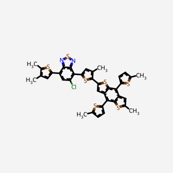 Cc1ccc(-c2c3cc(-c4sc(-c5c(Cl)cc(-c6cc(C)c(C)s6)c6nsnc56)cc4C)sc3c(-c3ccc(C)s3)c3cc(C)sc23)s1